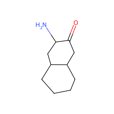 NC1CC2CCCCC2CC1=O